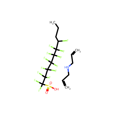 C=CCNCC=C.CCCC(F)C(F)(F)C(F)(F)C(F)(F)C(F)(F)C(F)(F)C(F)(F)S(=O)(=O)O